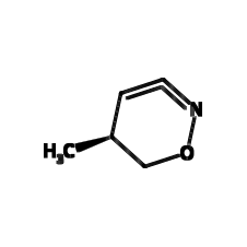 C[C@H]1C=C=NOC1